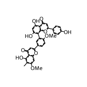 COc1ccc(-c2cc(=O)c3c(O)c(C)c(OC)cc3o2)cc1-c1c(O)cc(O)c2c(=O)cc(-c3ccc(O)cc3)oc12